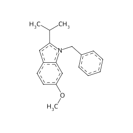 COc1ccc2cc(C(C)C)n(Cc3ccccc3)c2c1